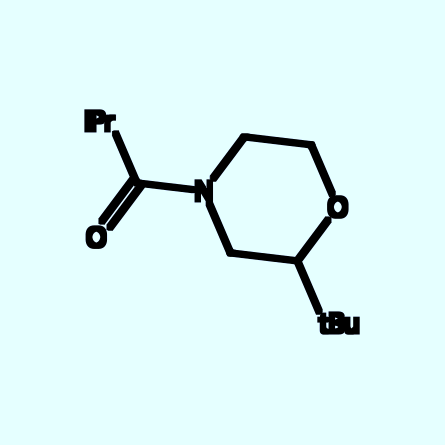 CC(C)C(=O)N1CCOC(C(C)(C)C)C1